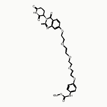 Cc1nc2cc(OCCOCCOCCOCCOc3ccc(NC(=O)OC(C)(C)C)cc3)ccc2c(=O)n1C1CCC(=O)NC1=O